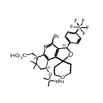 CC(C)c1nc2c(c3c1[C@@H](c1ccc(S(F)(F)(F)(F)F)cc1)OC31CCOCC1)[C@@H](O[Si](C)(C)C(C)(C)C)CC(C)(C)[C@H]2CC(=O)O